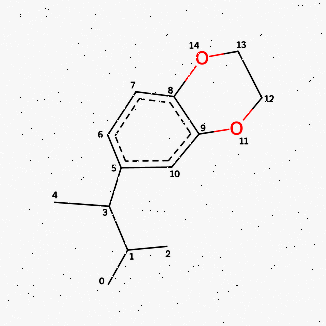 CC(C)C(C)c1ccc2c(c1)OCCO2